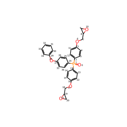 O=P(c1ccc(OCC2CO2)cc1)(c1ccc(OCC2CO2)cc1)c1ccc(Oc2ccccc2)cc1